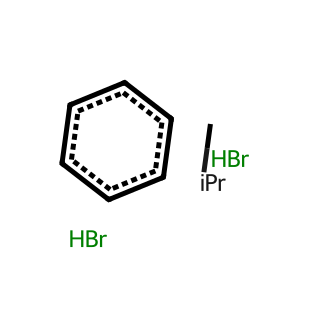 Br.Br.CC(C)C.c1ccccc1